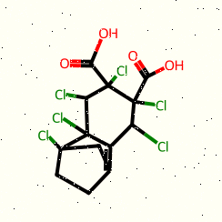 O=C(O)C1(Cl)C(Cl)C2=C3CCC(Cl)(C3)C2(Cl)C(Cl)C1(Cl)C(=O)O